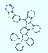 c1ccc(C2(c3ccccc3)c3ccccc3-c3c2ccc2c3c3ccccc3c3c4ccccc4n(-c4ccc5sc6cccnc6c5c4)c23)cc1